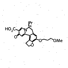 COCCCOc1cc2c(c3c1OCC3)-c1cc(=O)c(C(=O)O)cn1[C@@H](C(C)C)C2